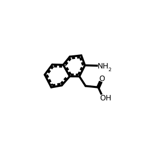 Nc1ccc2ccccc2c1CC(=O)O